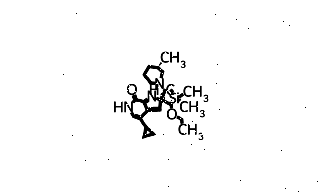 CCOC(C1(CN2CCC[C@H](C)C2)C=c2c(C3CC3)c[nH]c(=O)c2=N1)[Si](C)(C)C